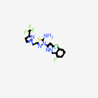 NC1SC(Cn2ccc(C(F)(F)F)n2)=NN1c1ccn(Cc2c(F)cccc2Cl)n1